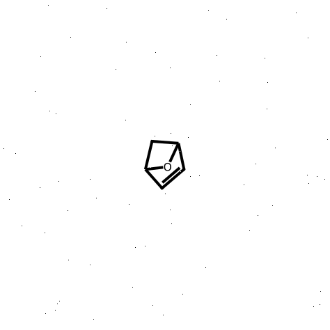 C1=CC2CC1O2